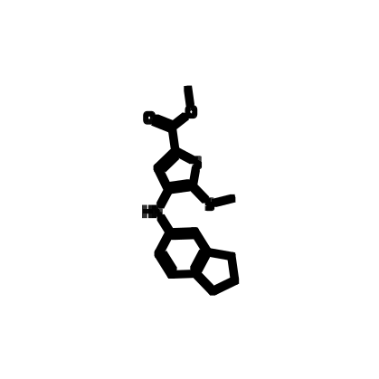 COC(=O)c1cc(Nc2ccc3c(c2)CCC3)c(SC)s1